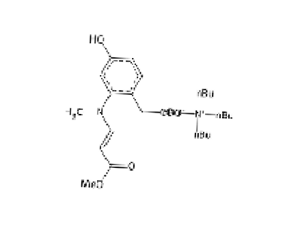 CCCC[N+](CCCC)(CCCC)CCCC.COC(=O)C=CN(C)c1cc(O)ccc1CC(=O)[O-]